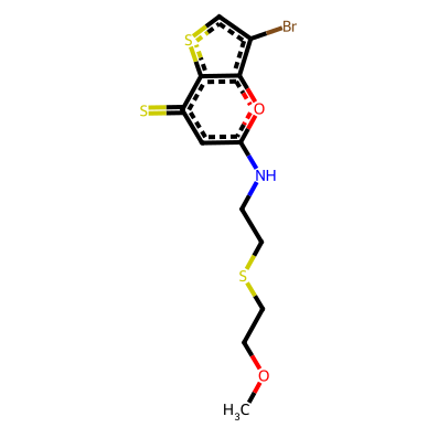 COCCSCCNc1cc(=S)c2scc(Br)c2o1